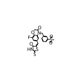 CS(=O)(=O)c1cccc(CN2C(=O)COc3c(F)cc(C=C4SC(=S)NC4=O)cc32)c1